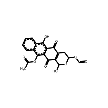 CC(=O)Oc1c2c(c(O)c3ccccc13)C(=O)C1=C(C2=O)C(O)OC(OC=O)C1